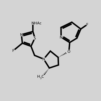 CC(=O)Nc1nc(F)c(CN2C[C@H](Oc3cc(F)ccn3)C[C@@H]2C)s1